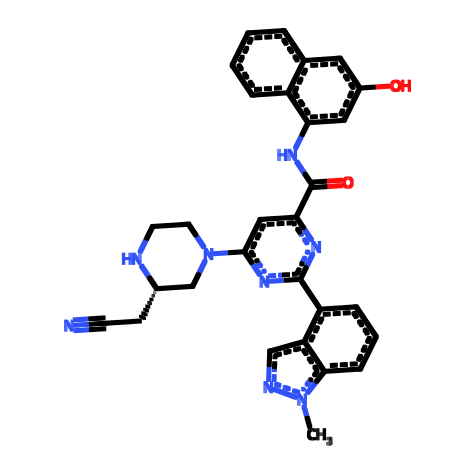 Cn1ncc2c(-c3nc(C(=O)Nc4cc(O)cc5ccccc45)cc(N4CCN[C@@H](CC#N)C4)n3)cccc21